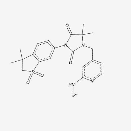 CC(C)Nc1cc(CN2C(=O)N(c3ccc4c(c3)S(=O)(=O)CC4(C)C)C(=O)C2(C)C)ccn1